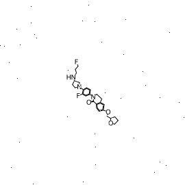 O=C1c2ccc(OCC3CCCO3)cc2CCN1c1ccc(N2CCC(NCCCF)C2)c(F)c1